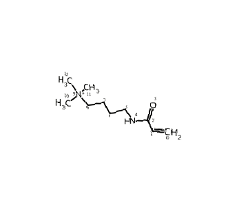 C=CC(=O)NCCCC[N+](C)(C)C